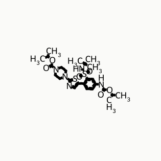 CC(C)OC(=O)Nc1ccc(-c2cnc(N3CCN(C(=O)OC(C)C)CC3)s2)c(S(=O)(=O)NC(C)(C)C)c1